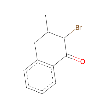 CC1Cc2ccccc2C(=O)C1Br